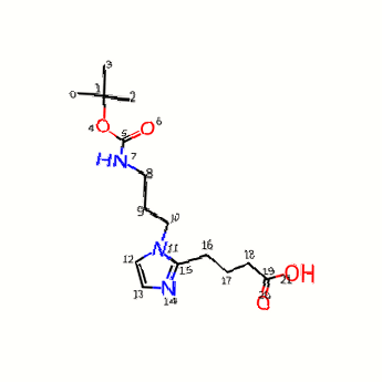 CC(C)(C)OC(=O)NCCCn1ccnc1CCCC(=O)O